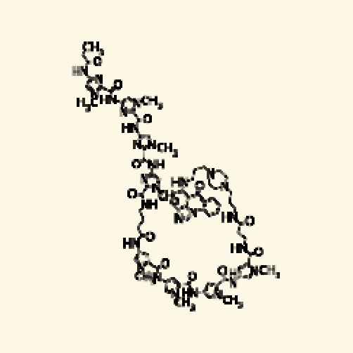 CCC(=O)Nc1cn(C)c(C(=O)Nc2cn(C)c(C(=O)Nc3cn(C)c(C(=O)Nc4cn(C)c(C(=O)NCCCC(=O)Nc5cc(C(=O)Nc6cc(C(=O)Nc7cc(C(=O)Nc8cc(C(=O)NCCC(=O)NCCCN9CCN(CCCNc%10ccc%11ncn%12c%13ccccc%13c(=O)c%10c%11%12)CC9)n(C)c8)n(C)c7)n(C)c6)n(C)c5)n4)n3)n2)n1